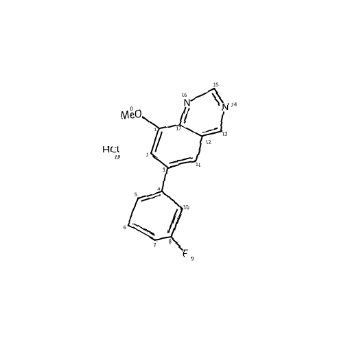 COc1cc(-c2cccc(F)c2)cc2cncnc12.Cl